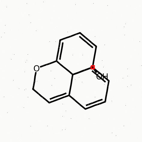 OC1C=CC=C2OCC=C3C=CC=CC321